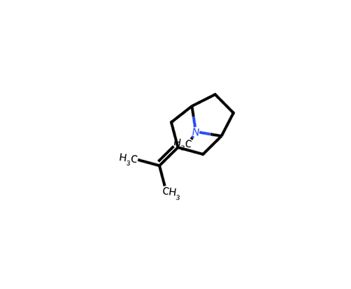 CC(C)=C1CC2CCC(C1)N2C